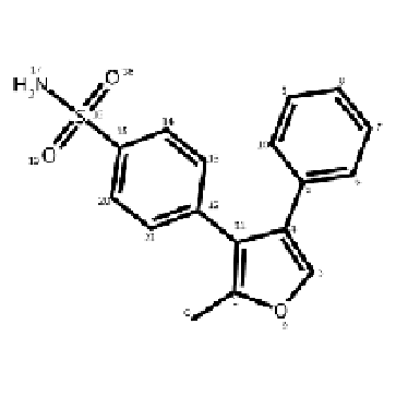 Cc1occ(-c2ccccc2)c1-c1ccc(S(N)(=O)=O)cc1